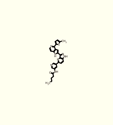 CCCCC(=O)Nc1cncc(-c2ccc3[nH]nc(-c4cc5c(-c6ccc(C)s6)nccc5[nH]4)c3n2)c1